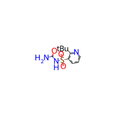 CC(C)(C)c1ncccc1S(=O)(=O)NC(N)=O